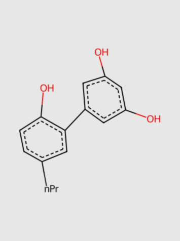 CCCc1ccc(O)c(-c2cc(O)cc(O)c2)c1